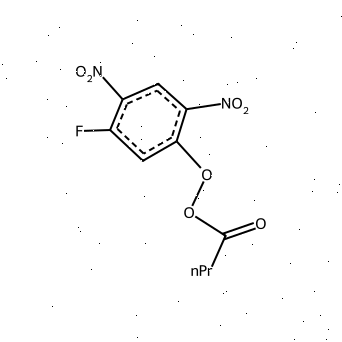 CCCC(=O)OOc1cc(F)c([N+](=O)[O-])cc1[N+](=O)[O-]